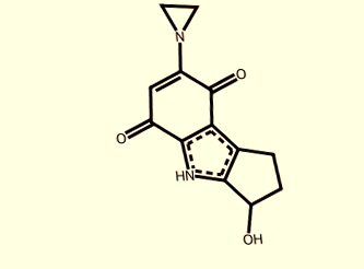 O=C1C=C(N2CC2)C(=O)c2c1[nH]c1c2CCC1O